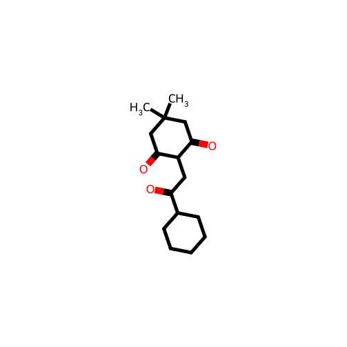 CC1(C)CC(=O)C(CC(=O)C2CCCCC2)C(=O)C1